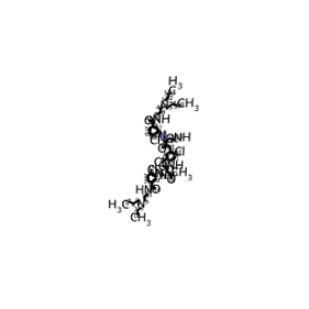 CCCCN(CCCC)CCCNC(=O)c1ccc(Cl)c(N=NC(C(C)=O)C(=O)Nc2cc(Cl)c(CC(=O)C(/N=N/c3cc(C(=O)NCCCN(CCCC)CCCC)ccc3Cl)OC=N)cc2Cl)c1